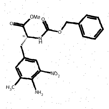 COC(=O)[C@@H](Cc1cc(C)c(N)c([N+](=O)[O-])c1)NC(=O)OCc1ccccc1